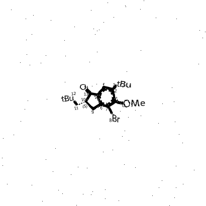 COc1c(C(C)(C)C)cc2c(c1Br)C[C@H](CC(C)(C)C)C2=O